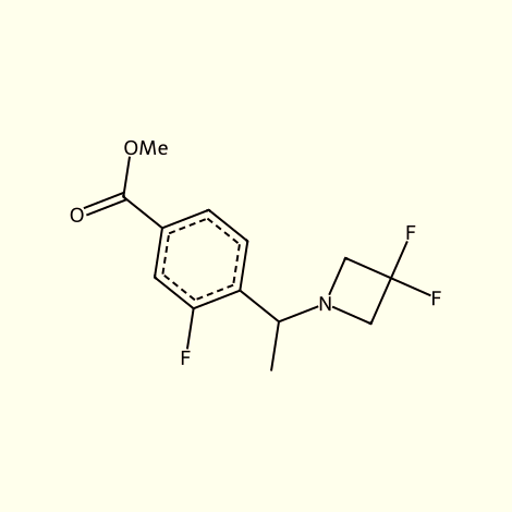 COC(=O)c1ccc(C(C)N2CC(F)(F)C2)c(F)c1